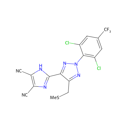 CSCc1nn(-c2c(Cl)cc(C(F)(F)F)cc2Cl)nc1-c1nc(C#N)c(C#N)[nH]1